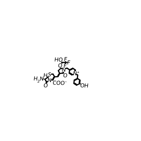 N[C@@H]1C(=O)N2C(C(=O)[O-])=C(/C=C3\CCN(Cc4cc[n+](Cc5cccc(O)c5)cc4)C3=O)CS[C@H]12.O=C(O)C(F)(F)F